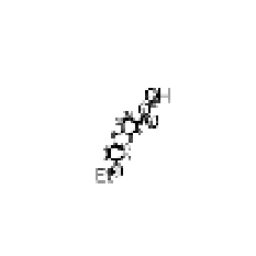 CCOc1ccc(Cc2ccc(C(=O)OCO)cc2)cc1